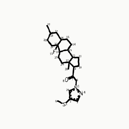 CSc1cnn(CC(=O)C2CCC3C4CCC5CC(C)CCC5(F)C4CCC23C)c1